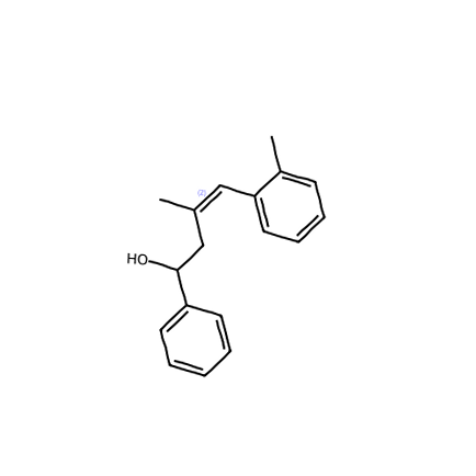 C/C(=C/c1ccccc1C)CC(O)c1ccccc1